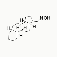 ON=CC1CC[C@H]2[C@@H]3CC[C@H]4CCCC[C@@H]4[C@H]3CC[C@H]12